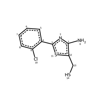 Nc1nc(-c2ccccc2Cl)sc1CS